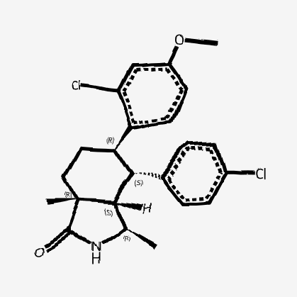 COc1ccc([C@@H]2CC[C@@]3(C)C(=O)N[C@H](C)[C@H]3[C@H]2c2ccc(Cl)cc2)c(Cl)c1